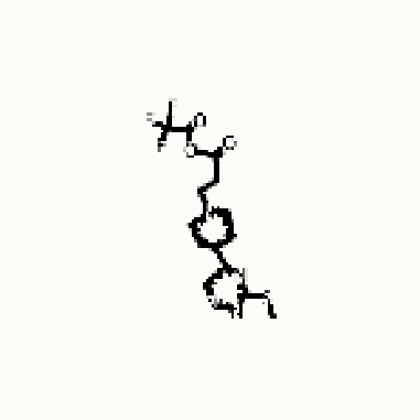 CSc1nncc(-c2cc[n+](CCC(=O)OC(=O)C(F)(F)F)cc2)n1